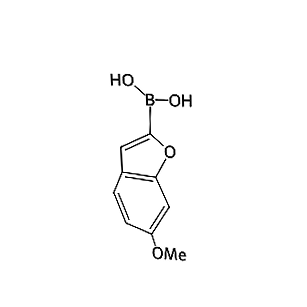 COc1ccc2cc(B(O)O)oc2c1